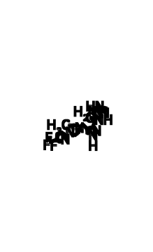 C[C@@H]1CN(Cc2c[nH]nc2C(=O)Nc2nc[nH]c2N)CCN1c1ccc(C(F)(F)F)cn1